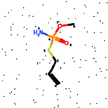 C=CCSP(N)(=O)OC